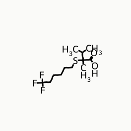 CC(C)C(C)(SCCCCCC(F)(F)F)C(=O)O